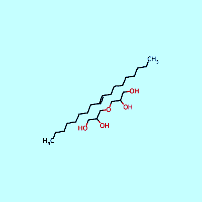 CCCCCCCCC=CCCCCCCCC.OCC(O)COCC(O)CO